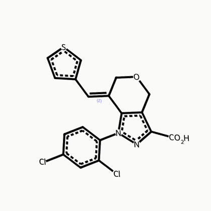 O=C(O)c1nn(-c2ccc(Cl)cc2Cl)c2c1COC/C2=C\c1ccsc1